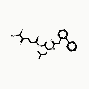 CC(C)C[C@H](NC(=O)Cc1ccccc1-c1ccccc1)C(=O)OC(=O)CCC(=O)C(N)F